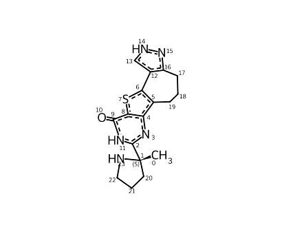 C[C@@]1(c2nc3c4c(sc3c(=O)[nH]2)-c2c[nH]nc2CCC4)CCCN1